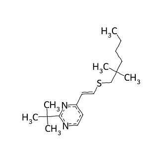 CCCCC(C)(C)CS/C=C/c1ccnc(C(C)(C)C)n1